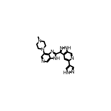 CN1CCN(c2cncc3[nH]c(-c4n[nH]c5cnc(-c6cn[nH]c6)cc45)nc23)CC1